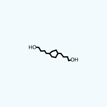 OCCCCC1CCC(CCCCO)CC1